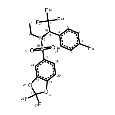 CCN([C@H](c1ccc(F)cc1)C(F)(F)F)S(=O)(=O)c1ccc2c(c1)OC(F)(F)O2